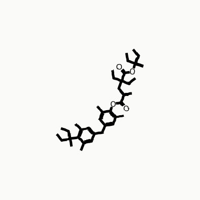 CCC(C)(CC)OC(=O)C(CC)(CC)CC(C)C(=O)Oc1c(C)cc(Cc2cc(C)c(C(C)(CC)CC)c(C)c2)cc1C